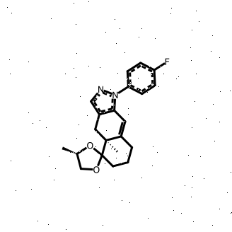 C[C@@H]1COC2(CCCC3=Cc4c(cnn4-c4ccc(F)cc4)C[C@@]32C)O1